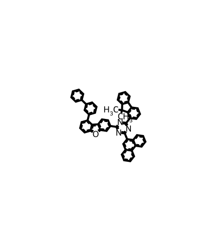 CC1(C)c2ccccc2-c2cccc(-c3nc(-c4ccc5c(c4)oc4cccc(-c6cccc(-c7ccccc7)c6)c45)nc(-c4cc5ccccc5c5ccccc45)n3)c21